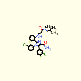 CC(C)CN(C)C(=O)CCNc1ccccc1-c1nc(C(N)=O)c(-c2ccc(F)c(Cl)c2)n1-c1cccc(Cl)c1F